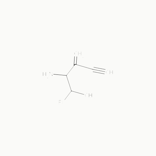 C#CC(=C)C(N)C(C)CC